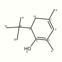 CC1=CC(C)=C(O)C(C(C)(C)C)C1